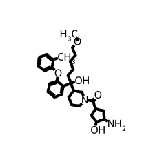 COCCCCCC(O)(c1ccccc1Oc1ccccc1C)C1CCCN(C(=O)C2CC(N)C(O)C2)C1